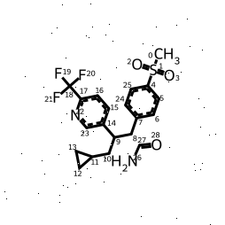 CS(=O)(=O)c1ccc(CC(CC2CC2)c2ccc(C(F)(F)F)nc2)cc1.NC=O